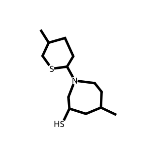 CC1CCC(N2CCC(C)CC(S)C2)SC1